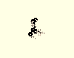 CC(C)(C)NC(=O)N1CCC2=C(c3cccc(C(F)(F)F)c3)C=CC(C(=O)NCc3nccc4cccnc34)C2C1